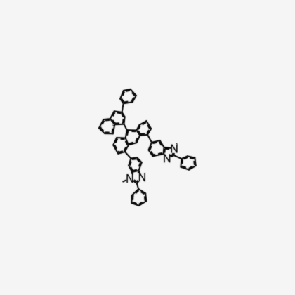 Cn1c(-c2ccccc2)nc2ccc(-c3cccc4c(-c5cc(-c6ccccc6)cc6ccccc56)c5cccc(-c6ccc7nc(-c8ccccc8)n(C)c7c6)c5cc34)cc21